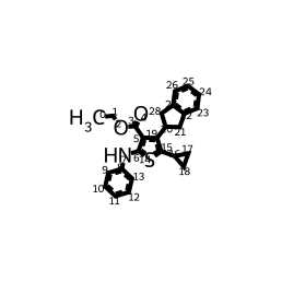 CCOC(=O)c1c(Nc2ccccc2)sc(C2CC2)c1C1Cc2ccccc2C1